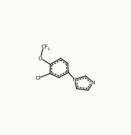 FC(F)(F)Oc1ccc(-n2[c]ncc2)cc1Cl